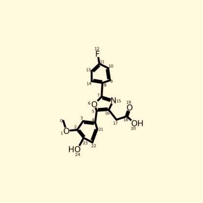 COc1cc(-c2oc(-c3ccc(F)cc3)nc2CC(=O)O)ccc1O